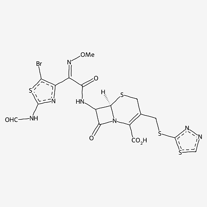 CO/N=C(\C(=O)NC1C(=O)N2C(C(=O)O)=C(CSc3nncs3)CS[C@H]12)c1nc(NC=O)sc1Br